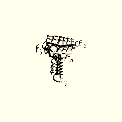 O=C(CC(=O)OC(F)(C(F)(F)C(F)(F)F)C(F)(F)C(F)(F)C(F)(F)C(F)(F)C(F)(F)F)OC(F)(C(F)(F)C(F)(F)F)C(F)(F)C(F)(F)C(F)(F)C(F)(F)C(F)(F)F